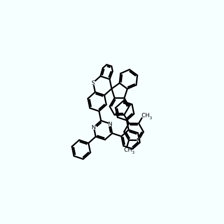 Cc1cc(-c2ccc3c(c2)-c2ccccc2C32c3ccccc3Sc3ccc(-c4nc(-c5ccccc5)cc(-c5ccccc5-c5ccccc5)n4)cc32)c(C)cn1